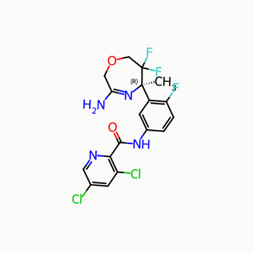 C[C@]1(c2cc(NC(=O)c3ncc(Cl)cc3Cl)ccc2F)N=C(N)COCC1(F)F